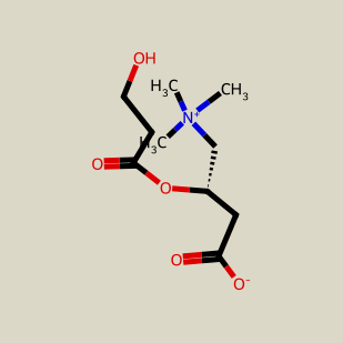 C[N+](C)(C)C[C@H](CC(=O)[O-])OC(=O)CCO